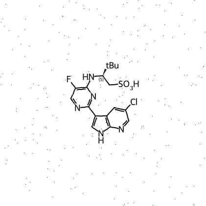 CC(C)(C)[C@@H](CS(=O)(=O)O)Nc1nc(-c2c[nH]c3ncc(Cl)cc23)ncc1F